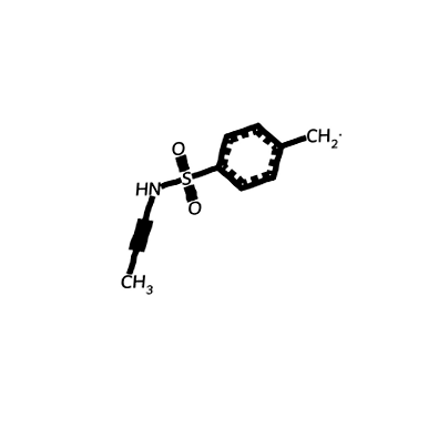 [CH2]c1ccc(S(=O)(=O)NC#CC)cc1